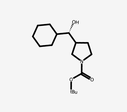 CC(C)(C)OC(=O)N1CCC([C@@H](O)C2CCCCC2)C1